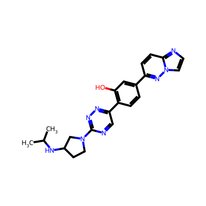 CC(C)NC1CCN(c2ncc(-c3ccc(-c4ccc5nccn5n4)cc3O)nn2)C1